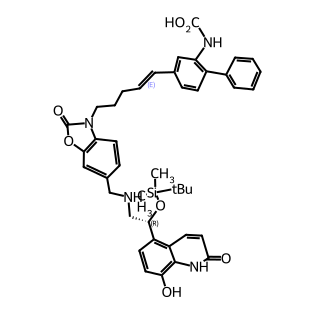 CC(C)(C)[Si](C)(C)O[C@@H](CNCc1ccc2c(c1)oc(=O)n2CCC/C=C/c1ccc(-c2ccccc2)c(NC(=O)O)c1)c1ccc(O)c2[nH]c(=O)ccc12